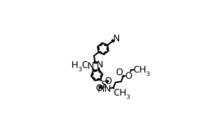 CCOC(=O)CCC(C)NS(=O)(=O)c1ccc2c(c1)nc(Cc1ccc(C#N)cc1)n2C